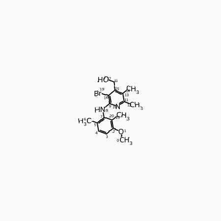 COc1ccc(C)c(Nc2nc(C)c(C)c(CO)c2Br)c1C